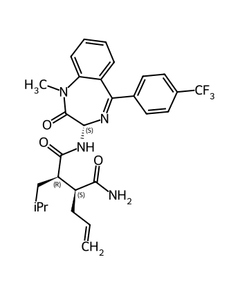 C=CC[C@H](C(N)=O)[C@@H](CC(C)C)C(=O)N[C@H]1N=C(c2ccc(C(F)(F)F)cc2)c2ccccc2N(C)C1=O